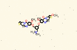 COc1cc2c(s1)C[C@H]1C=Nc3cc(OCc4cc(COc5cc6c(cc5OC)C(=O)N5Cc7ccsc7C[C@H]5C=N6)cc(CN(C)C)c4)c(OC)cc3C(=O)N1C2